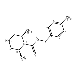 Cc1ccc(COC(=O)N2[C@H](C)CNC[C@@H]2C)cc1